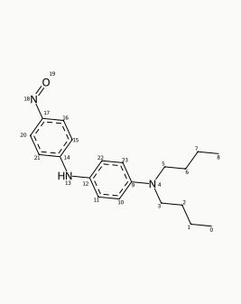 CCCCN(CCCC)c1ccc(Nc2ccc(N=O)cc2)cc1